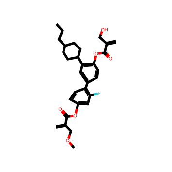 C=C(COC)C(=O)Oc1ccc(-c2ccc(OC(=O)C(=C)CO)c(C3CCC(CCC)CC3)c2)c(F)c1